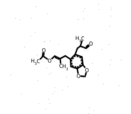 CC(=O)O/C=C(\C)Cc1cc2c(cc1CC(C)C=O)OCO2